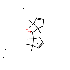 CC1(C)C=CCC1(C)C(=O)C1(C)CC=CC1(C)C